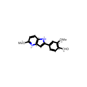 COc1ccc2[nH]c(-c3ccc(C=O)c(OC)c3)cc2n1